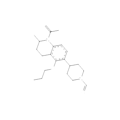 C=C(C)N1c2ccc(C3CCN(C=O)CC3)c(OCCC)c2CCC1C